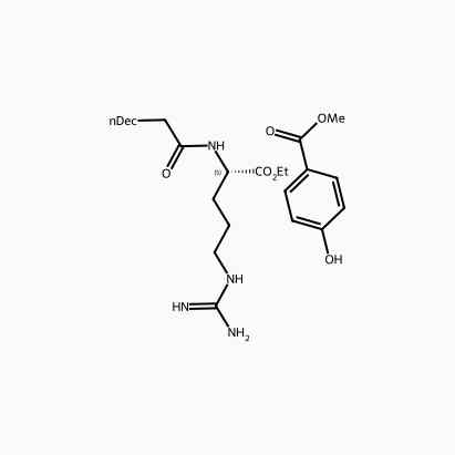 CCCCCCCCCCCC(=O)N[C@@H](CCCNC(=N)N)C(=O)OCC.COC(=O)c1ccc(O)cc1